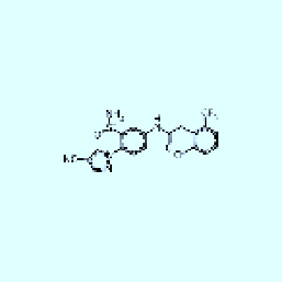 N#Cc1cnn(-c2ccc(NC(=O)Cc3c(Cl)cccc3C(F)(F)F)cc2[S+](N)[O-])c1